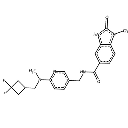 CN(CC1CC(F)(F)C1)c1ccc(CNC(=O)c2ccc3c(c2)[nH]c(=O)n3C)cn1